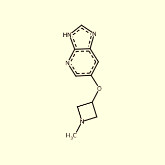 CN1CC(Oc2cnc3[nH]cnc3c2)C1